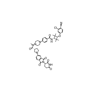 CN(C(=O)[C@@H]1CCN(c2ccc3c(c2)C(=O)N(C2CCC(=O)NC2=O)C3=O)C1)N1CCN(c2ccc(C(=O)N[C@H]3C(C)(C)[C@H](Oc4ccc(C#N)c(Cl)c4)C3(C)C)cc2)CC1